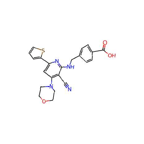 N#Cc1c(N2CCOCC2)cc(-c2cccs2)nc1NCc1ccc(C(=O)O)cc1